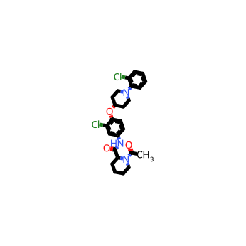 CC(=O)N1CCCCC1C(=O)Nc1ccc(OC2CCN(c3ccccc3Cl)CC2)c(Cl)c1